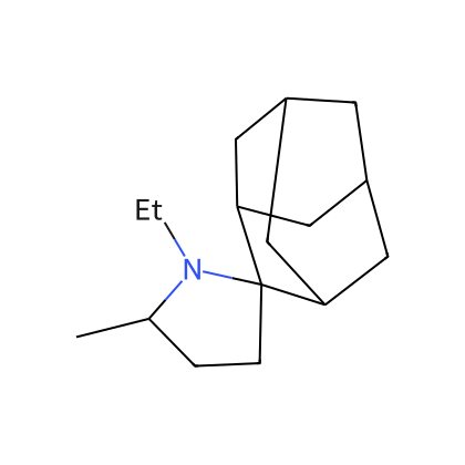 CCN1C(C)CCC12C1CC3CC(C1)CC2C3